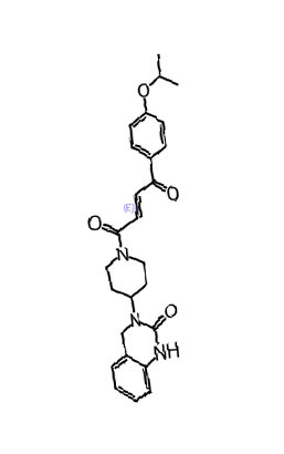 CC(C)Oc1ccc(C(=O)/C=C/C(=O)N2CCC(N3Cc4ccccc4NC3=O)CC2)cc1